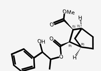 COC(=O)[C@H]1[C@H]2CC[C@H](C2)[C@H]1C(=O)OC(C)C(O)c1ccccc1